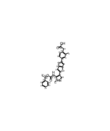 Cc1cc(-c2cc3sc(-c4cnn(C)c4NC(=O)O[C@H](C)c4ccccc4)cc3s2)ccc1CC(=O)O